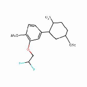 COc1ccc(C2CC(OC(C)=O)CCC2[N+](=O)[O-])cc1OCC(F)F